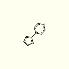 c1coc(-c2ccncc2)c1